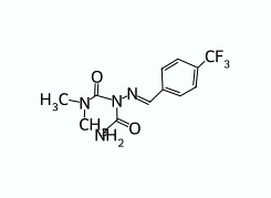 CN(C)C(=O)N(N=Cc1ccc(C(F)(F)F)cc1)C(N)=O